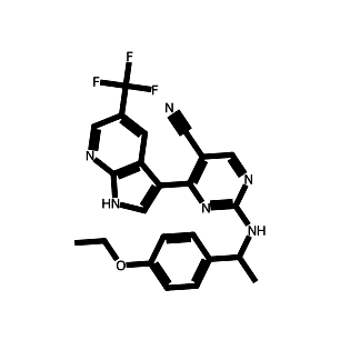 CCOc1ccc(C(C)Nc2ncc(C#N)c(-c3c[nH]c4ncc(C(F)(F)F)cc34)n2)cc1